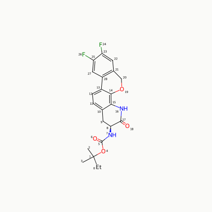 CCC(C)(C)OC(=O)N[C@H]1Cc2ccc3c(c2NC1=O)OCc1cc(F)c(F)cc1-3